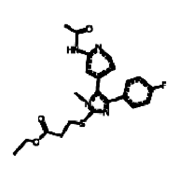 CCOC(=O)CCSc1nc(-c2ccc(F)cc2)c(-c2ccnc(NC(C)=O)c2)n1C